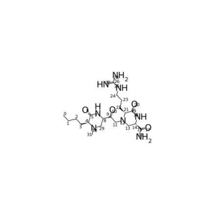 CCCC[C@H]1C(=O)N[C@@H](C(=O)CN2C[C@H](C(N)=O)NC(=O)[C@@H]2CCCNC(=N)N)CN1C